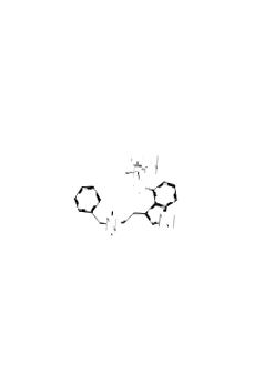 C[N+](C)(CCc1c[nH]c2cccc(OP(C)(=O)O)c12)Cc1ccccc1